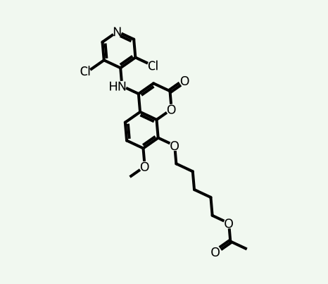 COc1ccc2c(Nc3c(Cl)cncc3Cl)cc(=O)oc2c1OCCCCCOC(C)=O